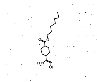 CCCCCCCOC(=O)C1CCC(/C(N)=N/O)CC1